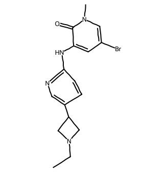 CCN1CC(c2ccc(Nc3cc(Br)cn(C)c3=O)nc2)C1